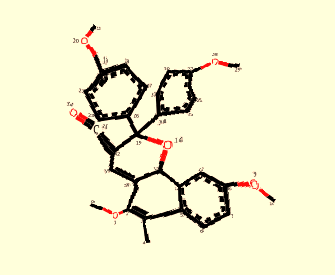 COC1=C(C)c2ccc(OC)cc2C2OC(c3ccc(OC)cc3)(c3ccc(OC)cc3)C(=C=O)C=C12